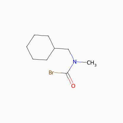 CN(CC1CCCCC1)C(=O)Br